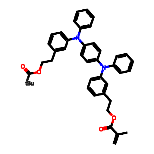 C=C(C)C(=O)OCCc1cccc(N(c2ccccc2)c2ccc(N(c3ccccc3)c3cccc(CCOC(=O)C(C)(C)C)c3)cc2)c1